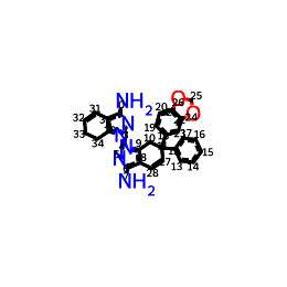 Nc1nn(-n2nc(N)c3c2CC(c2ccccc2)(c2ccc4c(c2)OCO4)C=C3)c2c1C=CCC2